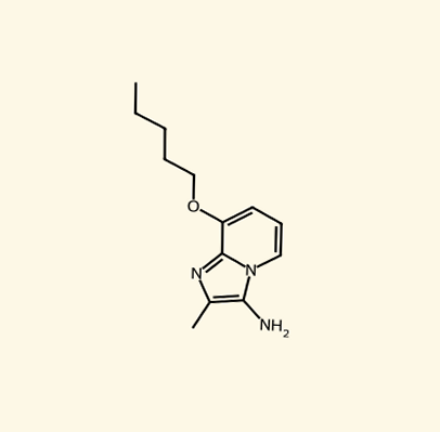 CCCCCOc1cccn2c(N)c(C)nc12